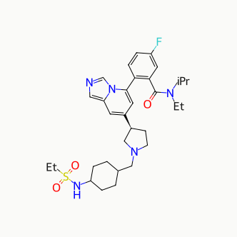 CCN(C(=O)c1cc(F)ccc1-c1cc([C@H]2CCN(CC3CCC(NS(=O)(=O)CC)CC3)C2)cc2cncn12)C(C)C